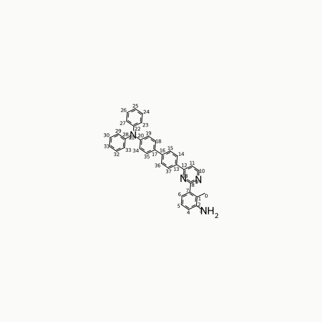 Cc1c(N)cccc1-c1nccc(-c2ccc(-c3ccc(N(c4ccccc4)c4ccccc4)cc3)cc2)n1